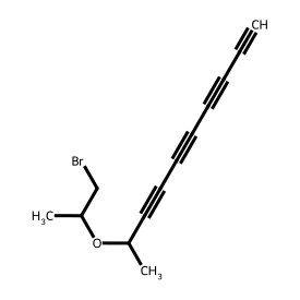 C#CC#CC#CC#CC(C)OC(C)CBr